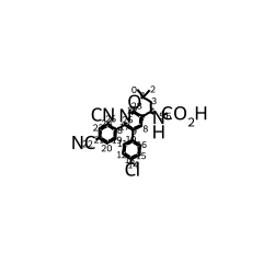 CC1(C)CC(NC(=O)O)c2cc(-c3ccc(Cl)cc3)c(-c3ccc(C#N)cc3C#N)nc2O1